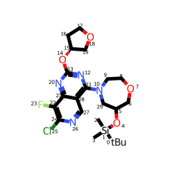 CC(C)(C)[Si](C)(C)OC1COCCN(c2nc(O[C@H]3CCOC3)nc3c(F)c(Cl)ncc23)C1